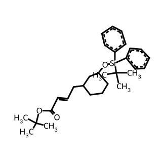 CC(C)(C)OC(=O)C=CCC1CCCC(O[Si](c2ccccc2)(c2ccccc2)C(C)(C)C)C1